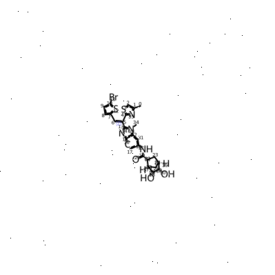 Cc1csc(/C(=C\c2ccc(Br)s2)c2nc3ccc(NC(=O)[C@H]4C[C@@H]5C[C@H]4[C@@H](O)[C@H]5O)cc3n2C)n1